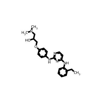 CCc1ccccc1Nc1ccnc(Nc2ccc(OCC(O)CN(C)C)cc2)n1